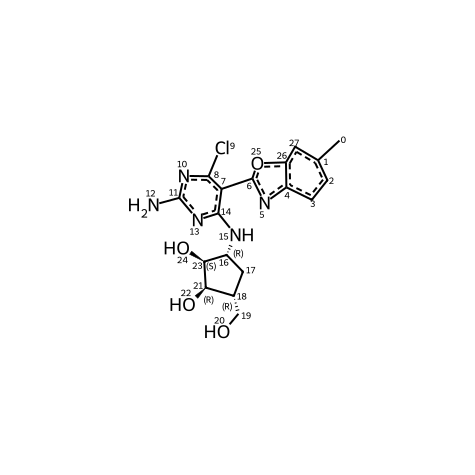 Cc1ccc2nc(-c3c(Cl)nc(N)nc3N[C@@H]3C[C@H](CO)[C@@H](O)[C@H]3O)oc2c1